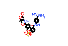 COC(=O)C[C@H](NC(=O)c1ccc(-c2ccccc2C(=O)Nc2ccc(C(=N)N)cc2)c(C(=O)OS(C)(=O)=O)c1)C(C)(C)C